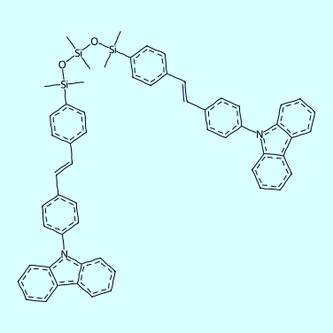 C[Si](C)(O[Si](C)(C)c1ccc(/C=C/c2ccc(-n3c4ccccc4c4ccccc43)cc2)cc1)O[Si](C)(C)c1ccc(/C=C/c2ccc(-n3c4ccccc4c4ccccc43)cc2)cc1